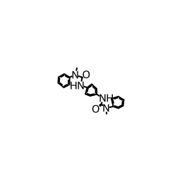 CN(C(=O)Nc1ccc(NC(=O)N(C)c2ccccc2)cc1)c1ccccc1